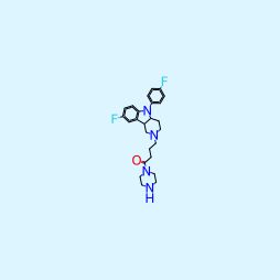 O=C(CCCN1CCC2C(C1)c1cc(F)ccc1N2c1ccc(F)cc1)N1CCNCC1